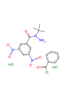 CC(C)(C)N(N)C(=O)c1cc([N+](=O)[O-])cc([N+](=O)[O-])c1.Cl.Cl.O=C(Cl)c1ccccc1